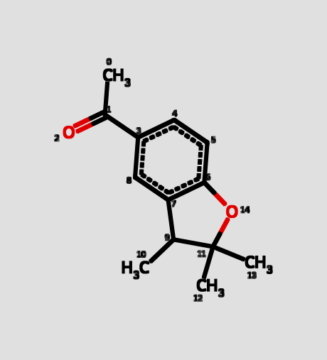 CC(=O)c1ccc2c(c1)C(C)C(C)(C)O2